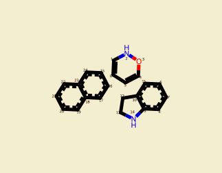 C1=CNOC=C1.c1ccc2c(c1)CCN2.c1ccc2ccccc2c1